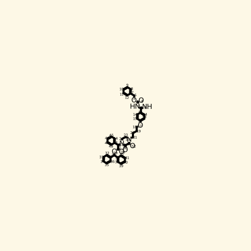 N=C(NC(=O)OCc1ccccc1)c1ccc(OCCCCN2CCN(C(C(=O)OC(c3ccccc3)c3ccccc3)c3ccccc3)C(=O)C2=O)cc1